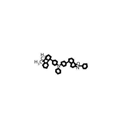 CC1(C)c2ccccc2-c2c(-c3ccc(N(c4ccccc4)c4ccc(-c5cccc6c5ccc5nc(-c7ccccc7)oc56)cc4)cc3)cccc21